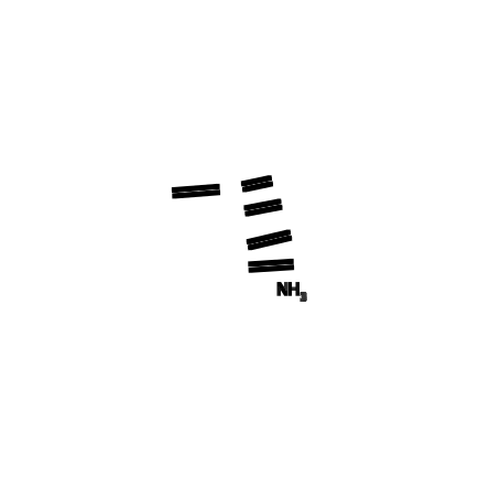 C=C.C=C.C=C.C=C.C=C.N